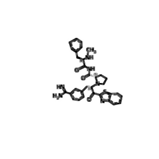 CN[C@H](Cc1ccccc1)C(=O)NC(=O)[C@@H]1CCCN1[C@@H](Cc1cccc(C(=N)N)c1)C(=O)c1nc2ccccc2s1